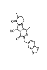 Cc1nn(Cc2ccc3c(c2)OCO3)c(=O)c2c(O)c3n(c12)CCN(C)C3=O